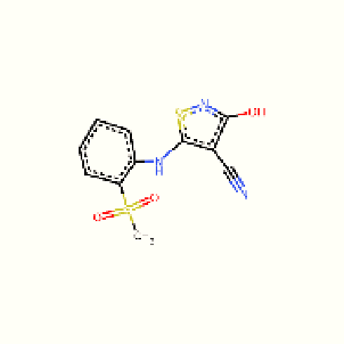 CS(=O)(=O)c1ccccc1Nc1snc(O)c1C#N